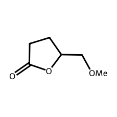 COCC1CCC(=O)O1